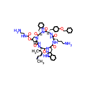 C=C(/C=C\C=C/C)[C@@H]1NC(=O)[C@@H]2C[C@@H](OC(=O)NCCN)CN2C(=O)[C@H](Cc2ccccc2)NC(=O)[C@H](Cc2ccc(OCc3ccccc3)cc2)NC(=O)[C@H](CCCCN)NC(=O)[C@@H](Cc2c[nH]c3ccccc23)NC1=O